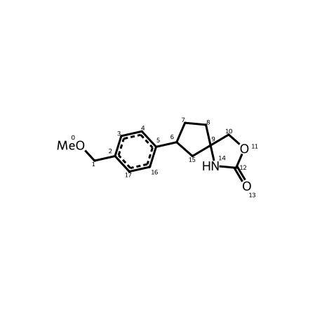 COCc1ccc(C2CCC3(COC(=O)N3)C2)cc1